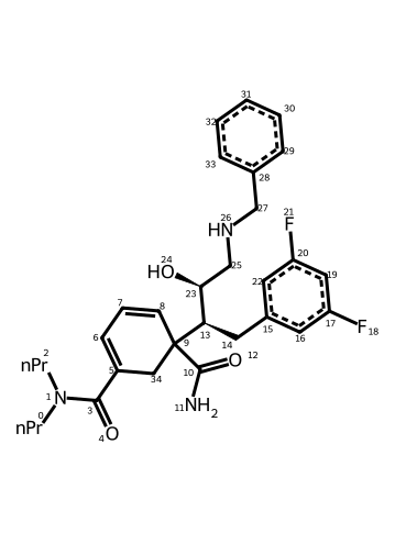 CCCN(CCC)C(=O)C1=CC=CC(C(N)=O)([C@H](Cc2cc(F)cc(F)c2)[C@@H](O)CNCc2ccccc2)C1